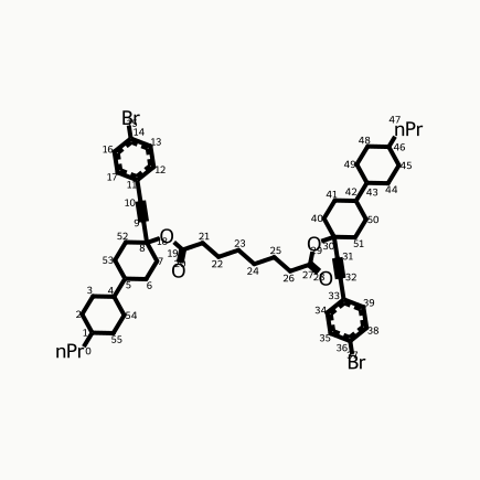 CCCC1CCC(C2CCC(C#Cc3ccc(Br)cc3)(OC(=O)CCCCCCC(=O)OC3(C#Cc4ccc(Br)cc4)CCC(C4CCC(CCC)CC4)CC3)CC2)CC1